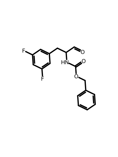 O=CC(Cc1cc(F)cc(F)c1)NC(=O)OCc1ccccc1